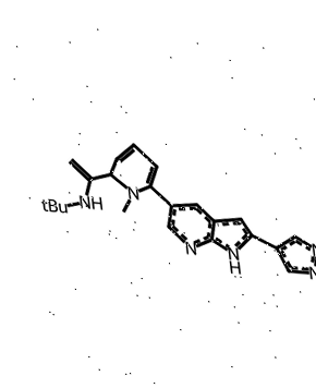 C=C(NC(C)(C)C)C1C=CC=C(c2cnc3[nH]c(-c4cn[nH]c4)cc3c2)N1C